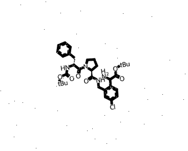 CC(C)(C)OC(=O)N[C@H](Cc1ccccc1)C(=O)N1CCC[C@H]1C(=O)NCc1cc(Cl)ccc1C(N)C(=O)OC(C)(C)C